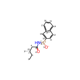 CC[C@H](C)CC(=O)N[S+]([O-])c1ccc2ccccc2c1